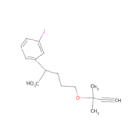 C#CC(C)(C)OCCCC(C(=O)O)c1cccc(I)c1